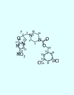 C[C@]1(CN2CCN(C(=O)OCc3cc(Cl)cc(Cl)c3)CC2)Cn2cc([N+](=O)[O-])nc2O1